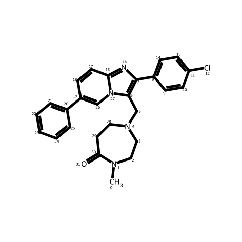 CN1CCN(Cc2c(-c3ccc(Cl)cc3)nc3ccc(-c4ccccc4)cn23)CCC1=O